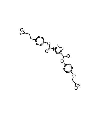 O=C(Oc1ccc(OCC2CO2)cc1)c1cn(C(=O)Oc2ccc(CCC3CO3)cc2)nn1